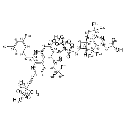 CC(C)(C#Cc1ccc(-c2ccc(Cl)c3c(N(S(C)(=O)=O)S(=O)(=O)CC4C[C@@H]5c6c(C(F)(F)F)nn(CC(=O)O)c6C(F)(F)[C@H]45)nn(CC(F)(F)F)c23)c([C@@H](N)Cc2cc(F)cc(F)c2)n1)S(C)(=O)=O